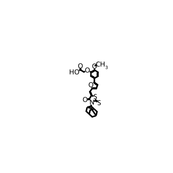 COc1ccc(-c2ccc(/C=C3\SC(=S)N(C4C5CC6CC(C5)CC4C6)C3=O)o2)cc1OCC(=O)O